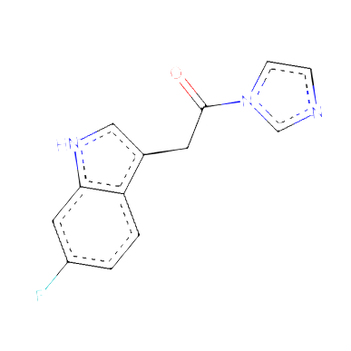 O=C(Cc1c[nH]c2cc(F)ccc12)n1ccnc1